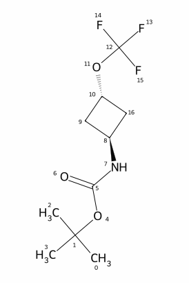 CC(C)(C)OC(=O)N[C@H]1C[C@H](OC(F)(F)F)C1